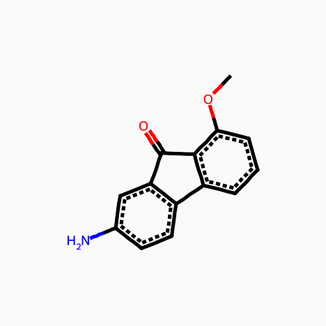 COc1cccc2c1C(=O)c1cc(N)ccc1-2